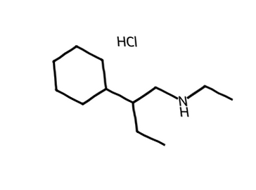 CCNCC(CC)C1CCCCC1.Cl